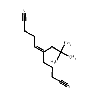 CC(C)(C)C/C(=C\CCC#N)CCCC#N